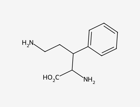 NCCC(c1ccccc1)C(N)C(=O)O